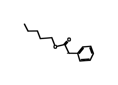 CCCCCOC(=O)[CH]c1ccccc1